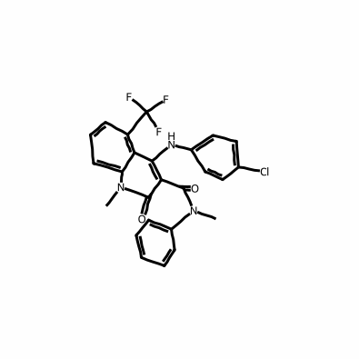 CN(C(=O)c1c(Nc2ccc(Cl)cc2)c2c(C(F)(F)F)cccc2n(C)c1=O)c1ccccc1